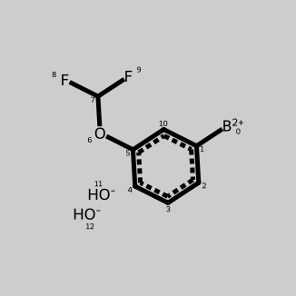 [B+2]c1cccc(OC(F)F)c1.[OH-].[OH-]